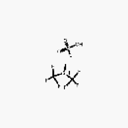 C[SiH](C(F)(F)F)C(F)(F)F.O=S(=O)(O)F